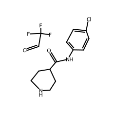 O=C(Nc1ccc(Cl)cc1)C1CCNCC1.O=CC(F)(F)F